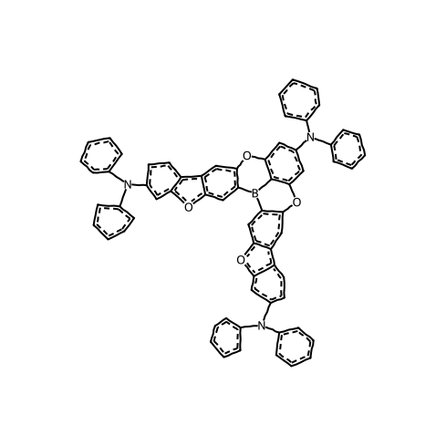 c1ccc(N(c2ccccc2)c2cc3c4c(c2)Oc2cc5c(cc2B4c2cc4oc6cc(N(c7ccccc7)c7ccccc7)ccc6c4cc2O3)oc2cc(N(c3ccccc3)c3ccccc3)ccc25)cc1